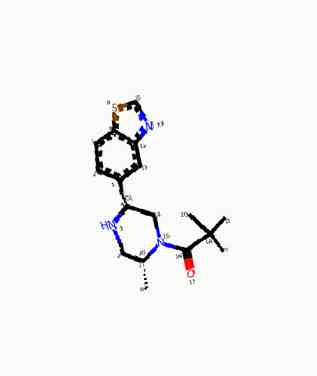 C[C@@H]1CN[C@@H](c2ccc3scnc3c2)CN1C(=O)C(C)(C)C